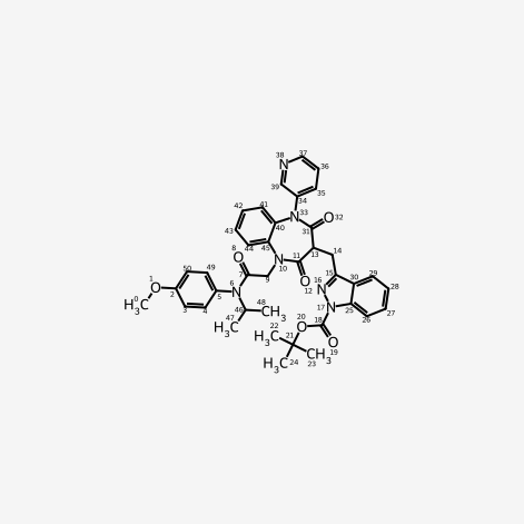 COc1ccc(N(C(=O)CN2C(=O)C(Cc3nn(C(=O)OC(C)(C)C)c4ccccc34)C(=O)N(c3cccnc3)c3ccccc32)C(C)C)cc1